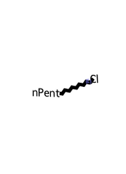 CCCCCCCCCCCC/C=C/Cl